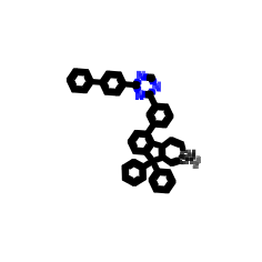 C=CC1=C(/C=C\C)c2c(-c3cccc(-c4ncnc(-c5ccc(-c6ccccc6)cc5)n4)c3)cccc2C1(c1ccccc1)c1ccccc1